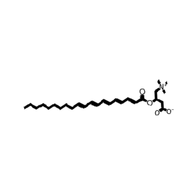 CCCCCCCCCC=CC=CC=CC=CC=CC(=O)OC(CC(=O)[O-])C[N+](C)(C)C